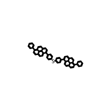 C1=CC2=C(c3ccccc3)C=CC3=CC=C4C(c5ccc(Sc6ccc(-c7ccc8ccc9c(-c%10ccccc%10)ccc%10ccc7c8c%109)cc6)cc5)=CC=C1C4C32